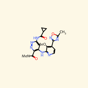 CNC(=O)c1nnc(NC(=O)C2CC2)cc1Nc1nccc(-c2noc(C)n2)c1OC